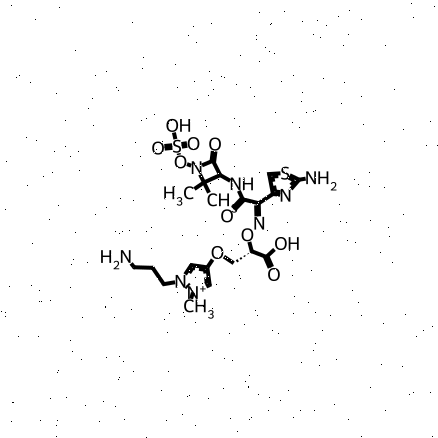 C[n+]1cc(OC[C@H](ON=C(C(=O)NC2C(=O)N(OS(=O)(=O)O)C2(C)C)c2csc(N)n2)C(=O)O)cn1CCCN